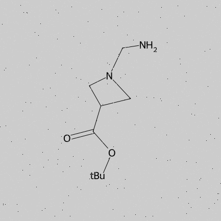 CC(C)(C)OC(=O)C1CN(CN)C1